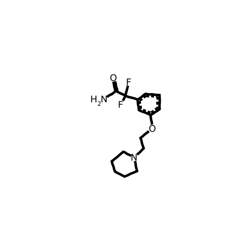 NC(=O)C(F)(F)c1cccc(OCCN2CCCCC2)c1